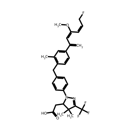 C=C(/C=C(\C=C/CF)OC)c1ccc(Cc2ccc(N3N=C(C(F)(F)F)C(C)(C)C3CC(=O)O)cc2)c(C)c1